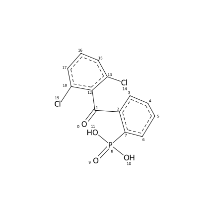 O=C(c1ccccc1P(=O)(O)O)c1c(Cl)cccc1Cl